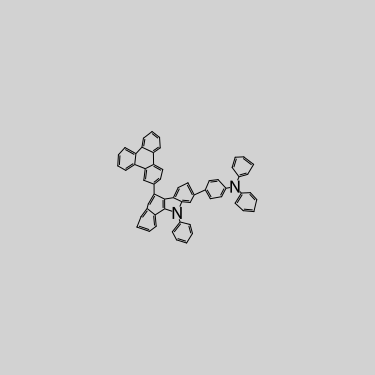 c1ccc(N(c2ccccc2)c2ccc(-c3ccc4c5c(-c6ccc7c8ccccc8c8ccccc8c7c6)cc6ccccc6c5n(-c5ccccc5)c4c3)cc2)cc1